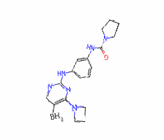 Bc1cnc(Nc2cccc(NC(=O)N3CCCC3)c2)nc1N1CCC1